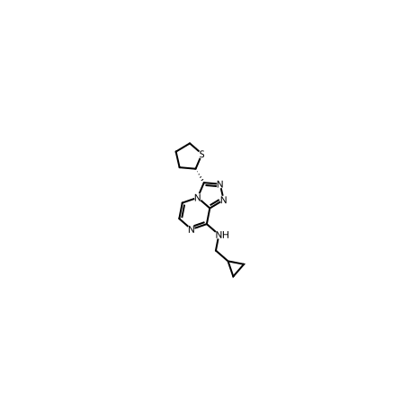 c1cn2c([C@@H]3CCCS3)nnc2c(NCC2CC2)n1